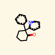 O=C1CCCCC1(c1ccccc1)c1ccccn1